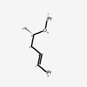 CC(C)/C=C/C[C@H](C)OC(C)C